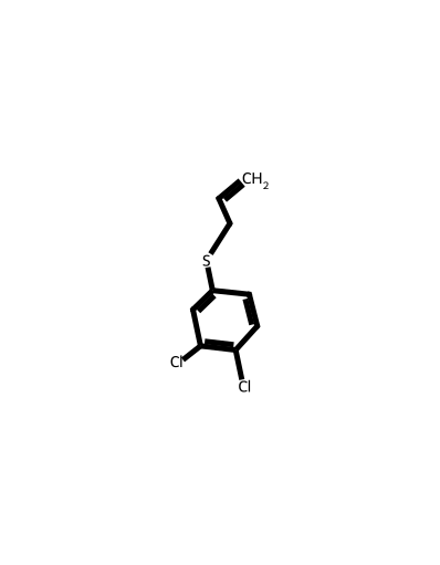 C=CCSc1ccc(Cl)c(Cl)c1